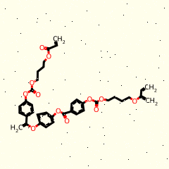 C=CC(=C)OCCCCOC(=O)Oc1ccc(C(=O)Oc2ccc(OC(=C)c3ccc(OC(=O)OCCCCOC(=O)C=C)cc3)cc2)cc1